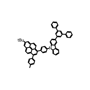 Cc1ccc(-c2cc(-c3ccc(-n4c5ccccc5c5cc(-c6cc(-c7ccccc7)cc(-c7ccccc7)c6)ccc54)cc3)c3ccc4cc(C(C)(C)C)cc5ccc2c3c54)cc1